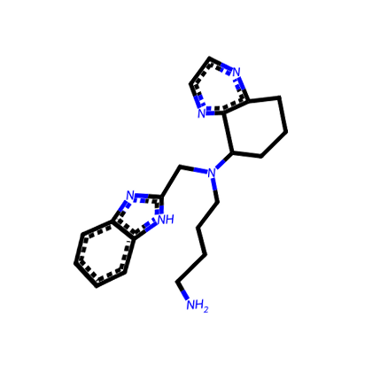 NCCCCN(Cc1nc2ccccc2[nH]1)C1CCCc2nccnc21